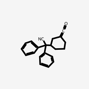 N#CC(c1ccccc1)(c1ccccc1)C1CCCC(=C=O)C1